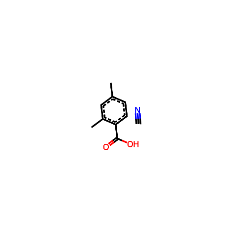 Cc1ccc(C(=O)O)c(C)c1.[C]#N